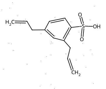 C=CCc1ccc(S(=O)(=O)O)c(CC=C)c1